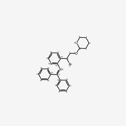 BrC(COC1CCCCO1)c1cccnc1N=C(c1ccccc1)c1ccccc1